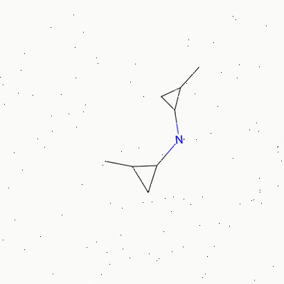 CC1CC1[N]C1CC1C